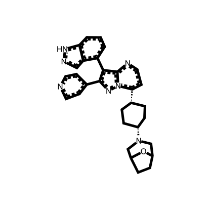 c1cc(-c2c(-c3ccncc3)nn3c2nccc3[C@H]2CC[C@@H](N3CC4CCC(C3)O4)CC2)c2cn[nH]c2c1